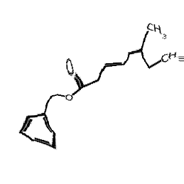 CCC(C)CC=CCC(=O)OCc1ccccc1